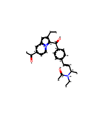 CCc1cc2cc(C(C)=O)ccn2c1C(=O)c1ccc(/C=C/C(C)N(CC)C(C)=O)cc1